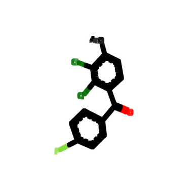 CC(=O)Oc1ccc(C(=O)c2ccc(F)cc2)c(Cl)c1Cl